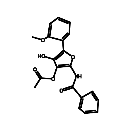 COc1ccccc1-c1oc(NC(=O)c2ccccc2)c(OC(C)=O)c1O